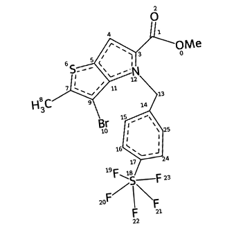 COC(=O)c1cc2sc(C)c(Br)c2n1Cc1ccc(S(F)(F)(F)(F)F)cc1